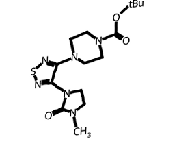 CN1CCN(c2nsnc2N2CCN(C(=O)OC(C)(C)C)CC2)C1=O